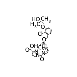 CC[C@@H](C[C@@H]1CCN(C(=O)n2ccc(C(=O)O)n2)C1)OCc1cccc(OCC(C)(C)O)c1Cl